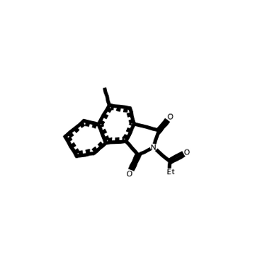 CCC(=O)N1C(=O)c2cc(C)c3ccccc3c2C1=O